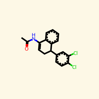 CC(=O)NC1=CCC(c2ccc(Cl)c(Cl)c2)c2ccccc21